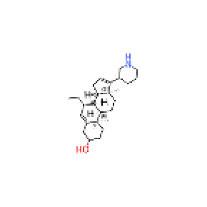 CCC1C=C2CC(O)CC[C@]2(C)[C@@H]2CC[C@]3(C)C(C4CCCNC4)=CC[C@H]3[C@H]12